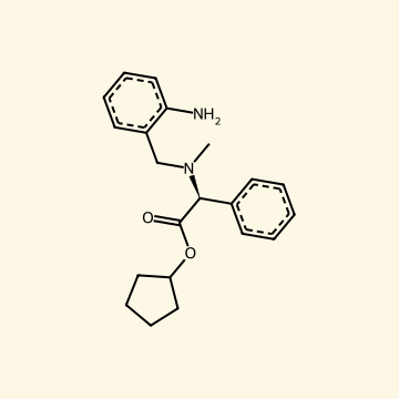 CN(Cc1ccccc1N)[C@H](C(=O)OC1CCCC1)c1ccccc1